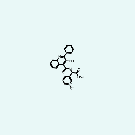 COC(=O)C(NC(=O)c1c(N)c(-c2ccccc2)nc2ccccc12)c1ccc[n+]([O-])c1